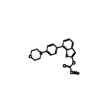 COC(=O)Oc1cc2cccc(-c3ccc(N4CCOCC4)cc3)c2s1